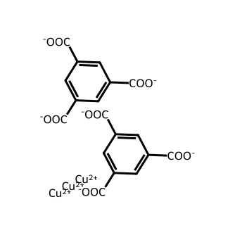 O=C([O-])c1cc(C(=O)[O-])cc(C(=O)[O-])c1.O=C([O-])c1cc(C(=O)[O-])cc(C(=O)[O-])c1.[Cu+2].[Cu+2].[Cu+2]